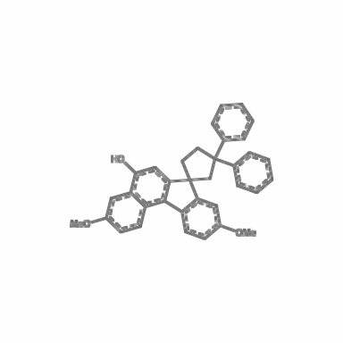 COc1ccc2c(c1)C1(CCC(c3ccccc3)(c3ccccc3)C1)c1cc(O)c3cc(OC)ccc3c1-2